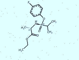 CCOC(=O)[C@H](C)N[P@@](=O)(Oc1ccc(F)cc1)C(C)C